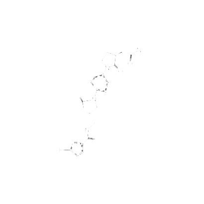 NC(=O)O[C@@H]1CCN(c2ccc(N3C[C@H](CNC(=O)c4ccc(Cl)s4)OC3=O)cc2)C1=O